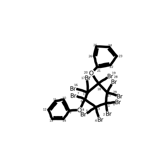 BrC1(Br)C(Br)(Br)C(Br)(Oc2ccccc2)C(Br)(Br)C(Br)(Oc2ccccc2)C1(Br)Br